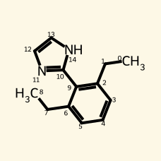 CCc1cccc(CC)c1-c1ncc[nH]1